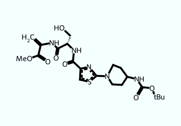 C=C(NC(=O)[C@H](CO)NC(=O)c1csc(N2CCC(NC(=O)OC(C)(C)C)CC2)n1)C(=O)OC